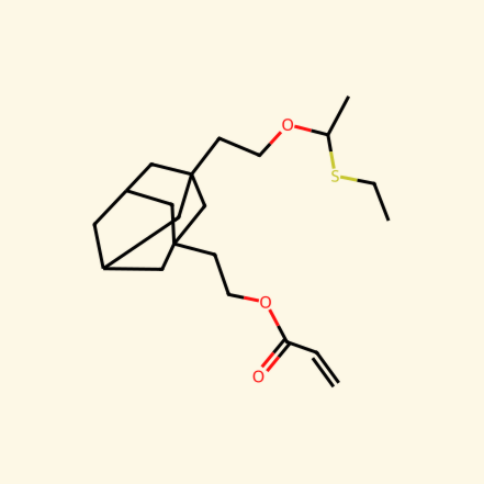 C=CC(=O)OCCC12CC3CC(C1)CC(CCOC(C)SCC)(C3)C2